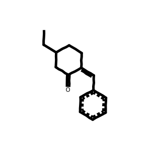 CCC1CC/C(=C/c2ccccc2)C(=O)C1